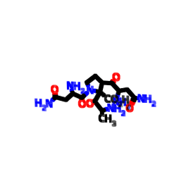 CC(N)C(=O)C1(C(=O)O)C(C(=O)C(N)CC(N)=O)CCN1C(=O)C(N)CC(N)=O